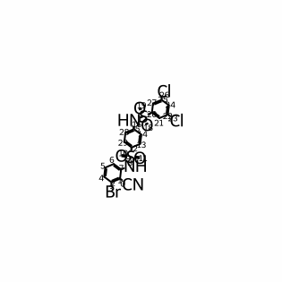 N#Cc1c(Br)cccc1NS(=O)(=O)c1ccc(NS(=O)(=O)c2cc(Cl)cc(Cl)c2)cc1